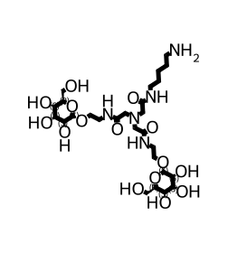 NCCCCCNC(=O)CN(CC(=O)NCCO[C@H]1O[C@H](CO)[C@@H](O)[C@H](O)[C@@H]1O)CC(=O)NCCO[C@H]1O[C@H](CO)[C@@H](O)[C@H](O)[C@@H]1O